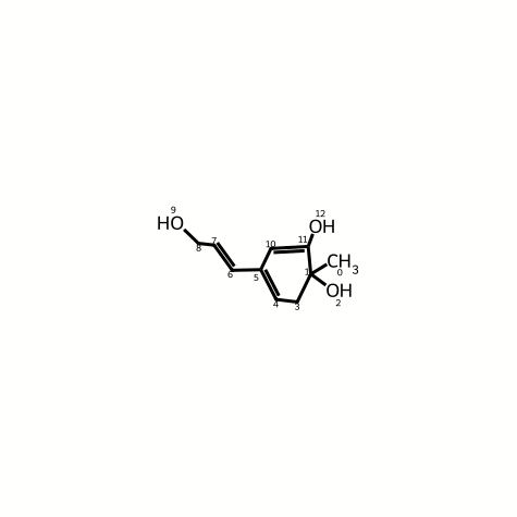 CC1(O)CC=C(/C=C/CO)C=C1O